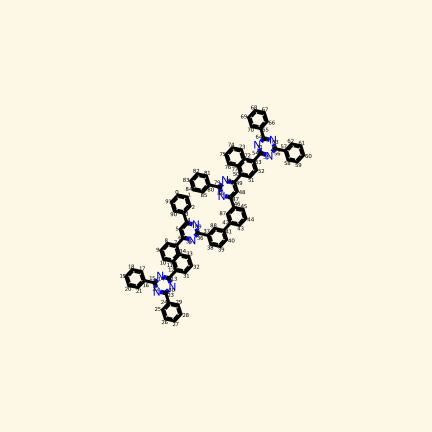 c1ccc(-c2cc(-c3cccc4c(-c5nc(-c6ccccc6)nc(-c6ccccc6)n5)cccc34)nc(-c3cccc(-c4cccc(-c5cc(-c6ccc(-c7nc(-c8ccccc8)nc(-c8ccccc8)n7)c7ccccc67)nc(-c6ccccc6)n5)c4)c3)n2)cc1